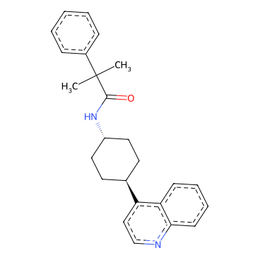 CC(C)(C(=O)N[C@H]1CC[C@H](c2ccnc3ccccc32)CC1)c1ccccc1